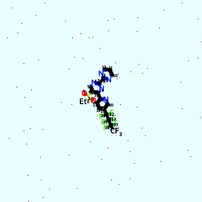 CCS(=O)(=O)c1cnc(-c2ncccn2)nc1-c1ccc(C(F)(F)C(F)(F)C(F)(F)C(F)(F)F)cn1